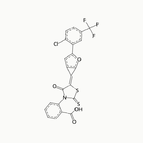 O=C(O)c1ccccc1N1C(=O)C(=C2c3cc(-c4cc(C(F)(F)F)ccc4Cl)oc32)SC1=S